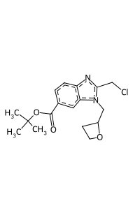 CC(C)(C)OC(=O)c1ccc2nc(CCl)n(CC3CCO3)c2c1